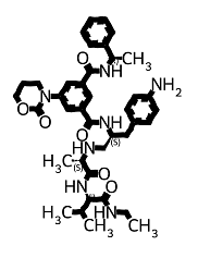 CCNC(=O)[C@@H](NC(=O)[C@H](C)NC[C@H](Cc1ccc(N)cc1)NC(=O)c1cc(C(=O)N[C@H](C)c2ccccc2)cc(N2CCCOC2=O)c1)C(C)C